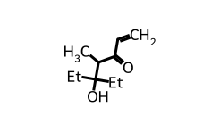 C=CC(=O)C(C)C(O)(CC)CC